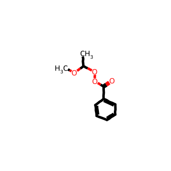 COC(C)OOC(=O)c1ccccc1